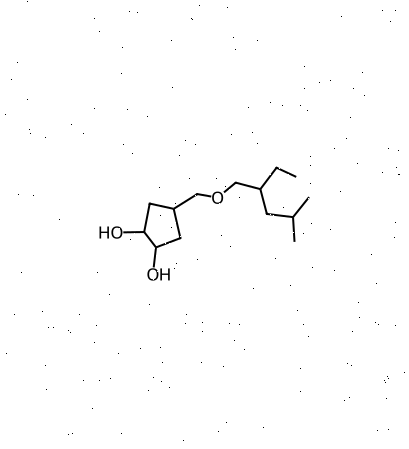 CCC(COCC1CC(O)C(O)C1)CC(C)C